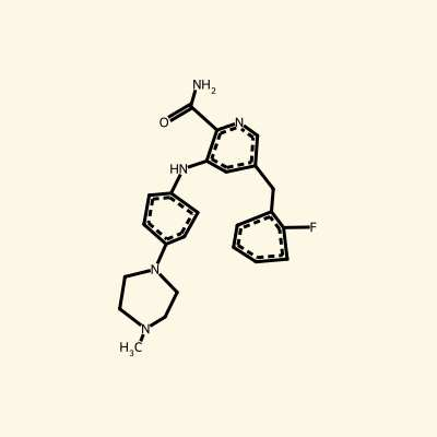 CN1CCN(c2ccc(Nc3cc(Cc4ccccc4F)cnc3C(N)=O)cc2)CC1